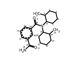 CC1CCCCC1N(C(=O)c1cccc(C(N)=O)c1)C1CCCCC1C